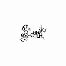 C[C@H](NC(=O)NC1CCCC1)c1ccc(Cc2ccc(OC(F)(F)F)cc2S(=O)(=O)c2ccccc2F)cc1